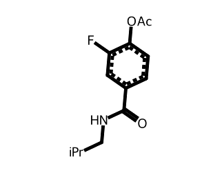 CC(=O)Oc1ccc(C(=O)NCC(C)C)cc1F